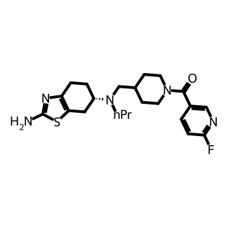 CCCN(CC1CCN(C(=O)c2ccc(F)nc2)CC1)[C@H]1CCc2nc(N)sc2C1